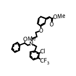 COC(=O)C=C1C=C(OCCCN(Cc2cccc(C(F)(F)F)c2Cl)C[C@H](OC)c2ccccc2)C=CC1